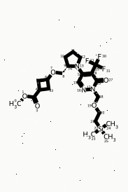 COC(=O)C1CC(OC[C@@H]2CCCN2c2cnn(COCC[Si](C)(C)C)c(=O)c2C(F)(F)F)C1